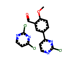 COc1ccc(-c2ccnc(Cl)n2)cc1C=O.Clc1ccnc(Cl)n1